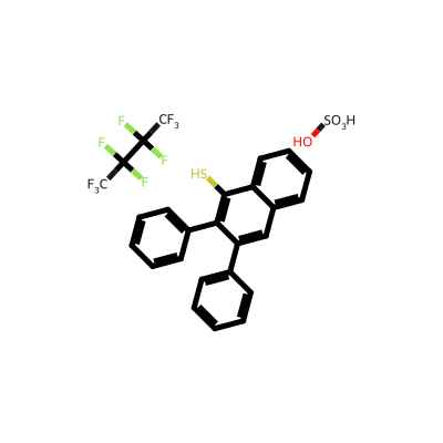 FC(F)(F)C(F)(F)C(F)(F)C(F)(F)F.O=S(=O)(O)O.Sc1c(-c2ccccc2)c(-c2ccccc2)cc2ccccc12